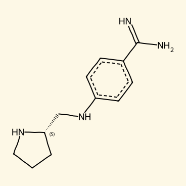 N=C(N)c1ccc(NC[C@@H]2CCCN2)cc1